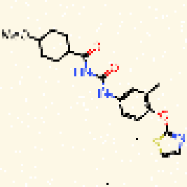 COC1CCC(C(=O)NC(=O)Nc2ccc(Oc3nccs3)c(C)c2)CC1